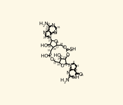 Nc1nc2c(ccn2C2OC3COP(O)CC4C(COP(S)OC2C3O)OC(n2cnc3c(N)ncnc32)C4O)c(=O)[nH]1